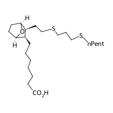 CCCCCSCCCSCC[C@H]1[C@@H](CCCCCCC(=O)O)[C@H]2CC[C@@H]1O2